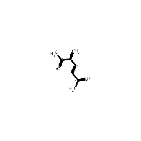 C=C(/[C]=C/C(N)=O)C(N)=O